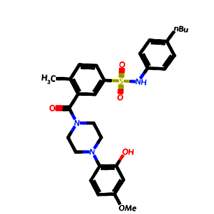 CCCCc1ccc(NS(=O)(=O)c2ccc(C)c(C(=O)N3CCN(c4ccc(OC)cc4O)CC3)c2)cc1